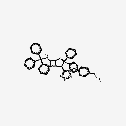 COc1ccc(Cn2nnnc2C2N3C(=O)C(NC(c4ccccc4)(c4ccccc4)c4ccccc4)C3SC2(c2ccccc2)c2ccccc2)cc1